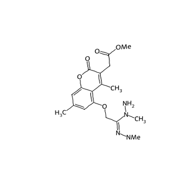 CN/N=C(/COc1cc(C)cc2oc(=O)c(CC(=O)OC)c(C)c12)N(C)N